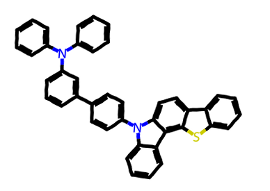 c1ccc(N(c2ccccc2)c2cccc(-c3ccc(-n4c5ccccc5c5c6sc7ccccc7c6ccc54)cc3)c2)cc1